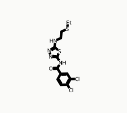 CCSCCNc1nnc(NC(=O)c2ccc(Cl)c(Cl)c2)s1